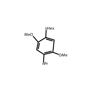 C[CH]Cc1cc(OC)c(CCCCCC)cc1OC